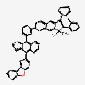 CC1(C)c2cc3cc(-c4cccc(-c5c6ccccc6c(-c6ccc7oc8ccccc8c7c6)c6ccccc56)c4)ccc3cc2-c2c1c1ccccc1c1ccccc21